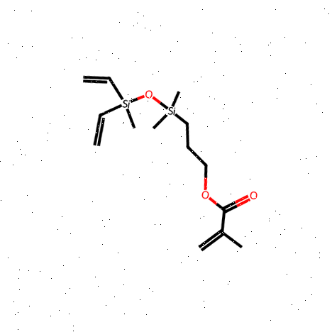 C=C[Si](C)(C=C)O[Si](C)(C)CCCOC(=O)C(=C)C